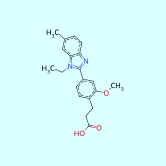 CCn1c(-c2ccc(CCC(=O)O)c(OC)c2)nc2ccc(C)cc21